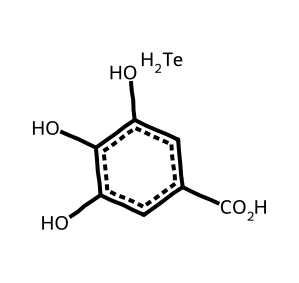 O=C(O)c1cc(O)c(O)c(O)c1.[TeH2]